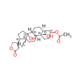 CC(=O)O[C@H]1CC[C@@]2(CO)[C@@H](CC[C@@H]3[C@@H]2CC[C@]2(C)[C@@H](C4=CC(=O)OC4)CC[C@]32O)C1